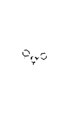 CC[C@H]1COCCN1c1nc(Cl)nc(N2CCOC[C@H]2C)n1